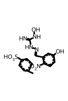 Cc1ccc(S(=O)(=O)O)cc1.N=C(NO)N/N=C/c1cc(O)ccc1[N+](=O)[O-]